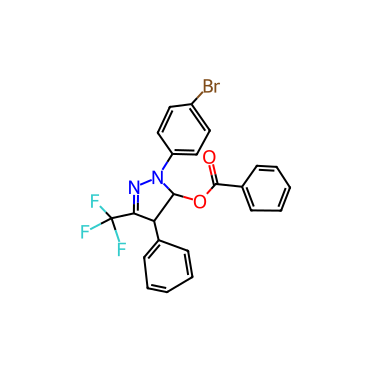 O=C(OC1C(c2ccccc2)C(C(F)(F)F)=NN1c1ccc(Br)cc1)c1ccccc1